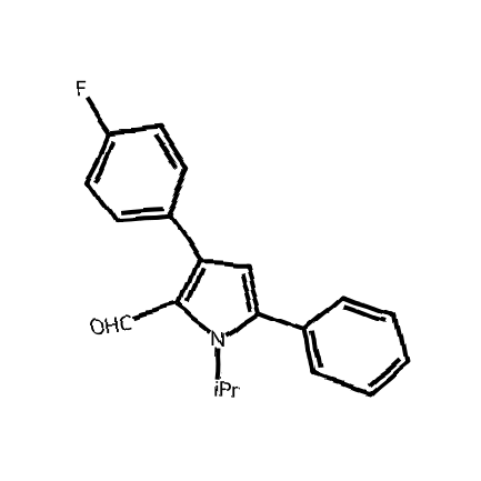 CC(C)n1c(-c2ccccc2)cc(-c2ccc(F)cc2)c1C=O